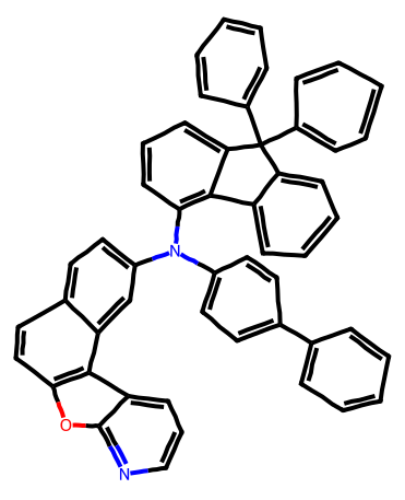 c1ccc(-c2ccc(N(c3ccc4ccc5oc6ncccc6c5c4c3)c3cccc4c3-c3ccccc3C4(c3ccccc3)c3ccccc3)cc2)cc1